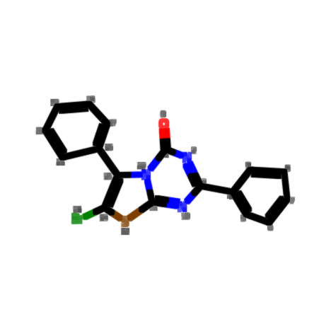 O=c1nc(-c2ccccc2)nc2sc(Br)c(-c3ccccc3)n12